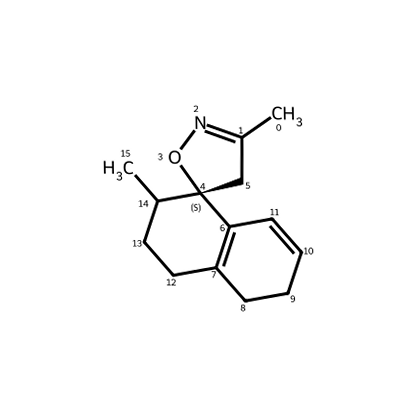 CC1=NO[C@]2(C1)C1=C(CCC=C1)CCC2C